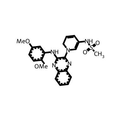 COc1ccc(OC)c(Nc2nc3ccccc3nc2N2C=C(NS(C)(=O)=O)C=CC2)c1